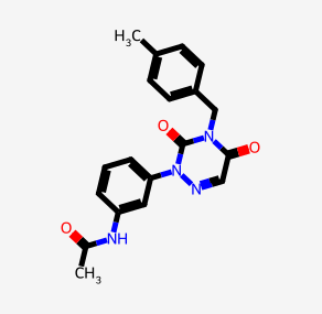 CC(=O)Nc1cccc(-n2ncc(=O)n(Cc3ccc(C)cc3)c2=O)c1